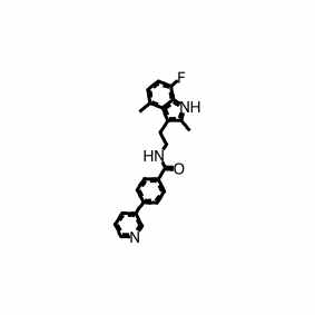 Cc1[nH]c2c(F)ccc(C)c2c1CCNC(=O)c1ccc(-c2cccnc2)cc1